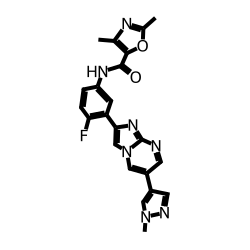 Cc1nc(C)c(C(=O)Nc2ccc(F)c(-c3cn4cc(-c5cnn(C)c5)cnc4n3)c2)o1